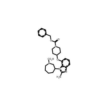 Nc1nc2cccc(OC3CCN(C(=O)OCc4ccccc4)CC3)c2n1C1CCCCN(C(=O)O)C1